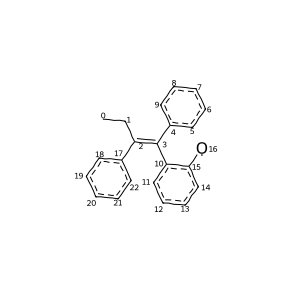 CC/C(=C(\c1ccccc1)c1ccccc1[O])c1ccccc1